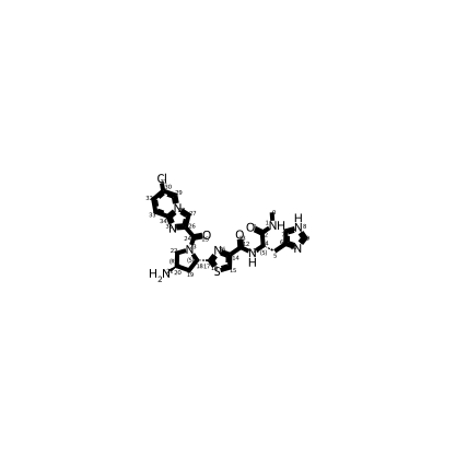 CNC(=O)[C@H](Cc1c[nH]cn1)NC(=O)c1csc([C@@H]2C[C@@H](N)CN2C(=O)c2cn3cc(Cl)ccc3n2)n1